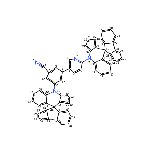 N#Cc1cc(-c2ccc(N3c4ccccc4C4(c5ccccc5-c5ccccc54)c4ccccc43)nc2)cc(N2c3ccccc3C3(c4ccccc4-c4ccccc43)c3ccccc32)c1